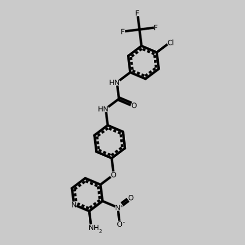 Nc1nccc(Oc2ccc(NC(=O)Nc3ccc(Cl)c(C(F)(F)F)c3)cc2)c1[N+](=O)[O-]